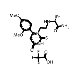 COc1ccc(-c2cc(=O)[nH]c(=S)n2CCN[C@H](C(N)=O)C(C)C)c(OC)c1.O=C(O)C(F)(F)F